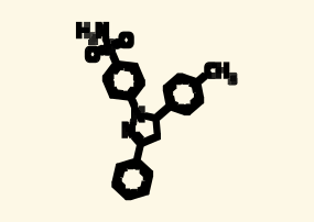 Cc1ccc(C2CC(c3ccccc3)=NN2c2ccc(S(N)(=O)=O)cc2)cc1